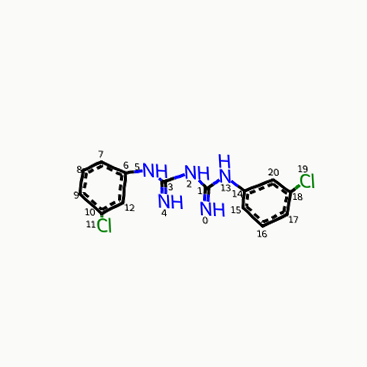 N=C(NC(=N)Nc1cccc(Cl)c1)Nc1cccc(Cl)c1